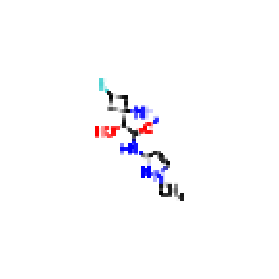 Cn1ccc(NC(=O)C(O)C2(N)CC(F)C2)n1